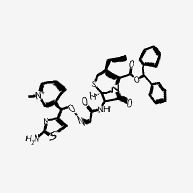 C=CC1=C(C(=O)OC(c2ccccc2)c2ccccc2)N2C(=O)C(NC(=O)/C=N\OC(c3ccc[n+](C)c3)c3csc(N)n3)[C@H]2SC1